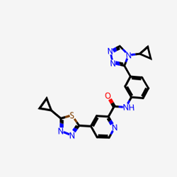 O=C(Nc1cccc(-c2nncn2C2CC2)c1)c1cc(-c2nnc(C3CC3)s2)ccn1